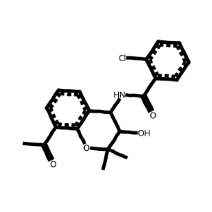 CC(=O)c1cccc2c1OC(C)(C)C(O)C2NC(=O)c1ccccc1Cl